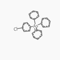 Clc1ccc([AsH](c2ccccc2)(c2ccccc2)c2ccccc2)cc1